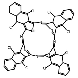 ClC1=C2c3nc(nc4[nH]c(nc5nc(nc6[nH]c(n3)c3c6C(Cl)=C6C=CC=CC6C3Cl)-c3c-5c(Cl)c5ccccc5c3Cl)c3c4C(Cl)=C4C=CCCC4C3Cl)C2C(Cl)c2ccccc21